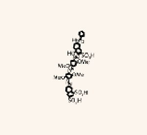 COc1cc(N=Nc2cc(OC)c(N=Nc3c(S(=O)(=O)O)cc4cc(NC(=O)c5ccccc5)ccc4c3O)cc2OC)c(OC)cc1N=Nc1ccc2cc(S(=O)(=O)O)cc(S(=O)(=O)O)c2c1